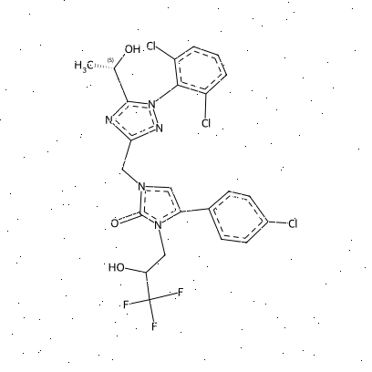 C[C@H](O)c1nc(Cn2cc(-c3ccc(Cl)cc3)n(CC(O)C(F)(F)F)c2=O)nn1-c1c(Cl)cccc1Cl